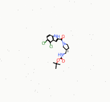 CC(C)(C)OC(=O)NC[C@@H]1CCN(C(=O)c2cc3c(Cl)c(Cl)ccc3[nH]2)C1